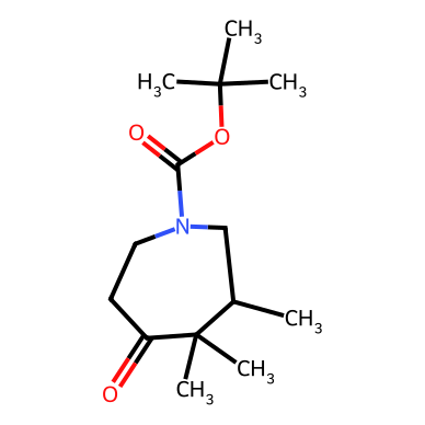 CC1CN(C(=O)OC(C)(C)C)CCC(=O)C1(C)C